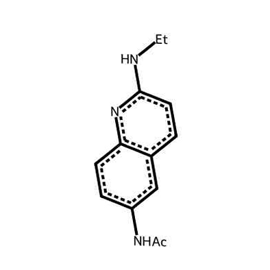 CCNc1ccc2cc(NC(C)=O)ccc2n1